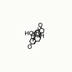 C[C@]12CCC(=O)C=C1CC[C@@H]1[C@@H]2[C@@H](O)C[C@]2(C)C(=O)CC[C@@H]12